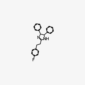 Fc1ccc(CCC2=NC(c3ccccc3)C(c3ccccc3)N2)cc1